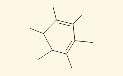 CC1=C(C)C(C)C(C)C(C)=C1C